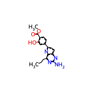 CCCc1nc(N)nc2ccc(-c3ccc(C(=O)OC)c(O)c3)nc12